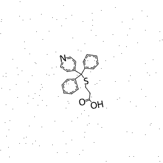 O=C(O)CCSC(c1ccccc1)(c1ccccc1)c1ccncc1